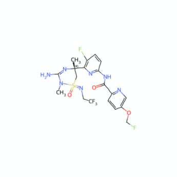 CN1C(N)=N[C@](C)(c2nc(NC(=O)c3ccc(OCF)cn3)ccc2F)CS1(=O)=NCC(F)(F)F